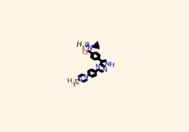 CN1CCN(c2ccc(-c3cnc4[nH]cc(-c5ccc(C(=O)N(C)C6CC6)cc5)c4n3)cc2)CC1